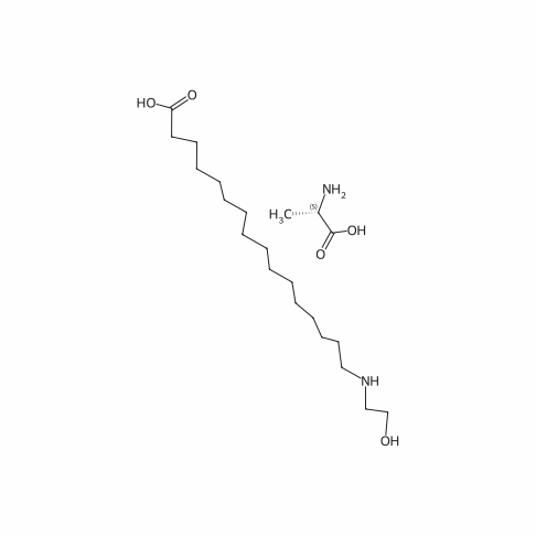 C[C@H](N)C(=O)O.O=C(O)CCCCCCCCCCCCCCCNCCO